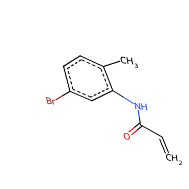 C=CC(=O)Nc1cc(Br)ccc1C